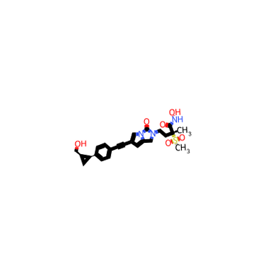 C[C@@](CCN1Cc2cc(C#Cc3ccc([C@@H]4C[C@H]4CO)cc3)cn2C1=O)(C(=O)NO)S(C)(=O)=O